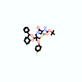 CC(C)(C)OC(=O)NC1C(=O)N2CC(COc3ccc(F)cc3)(C(=O)OC(c3ccccc3)c3ccccc3)CS[C@H]12